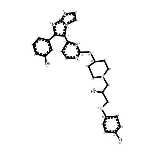 Oc1cccc(-c2nc3sccn3c2-c2ccnc(NC3CCN(CC(O)COc4ccc(Cl)cc4)CC3)n2)c1